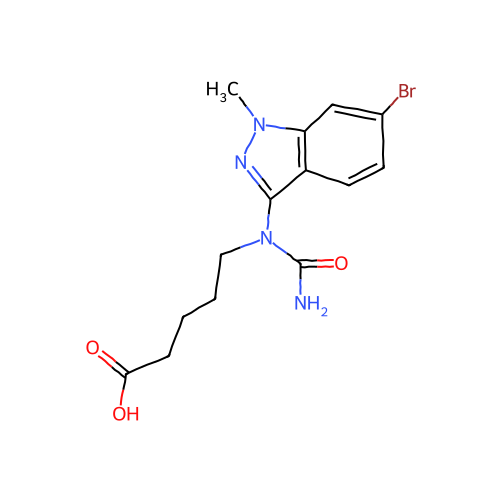 Cn1nc(N(CCCCC(=O)O)C(N)=O)c2ccc(Br)cc21